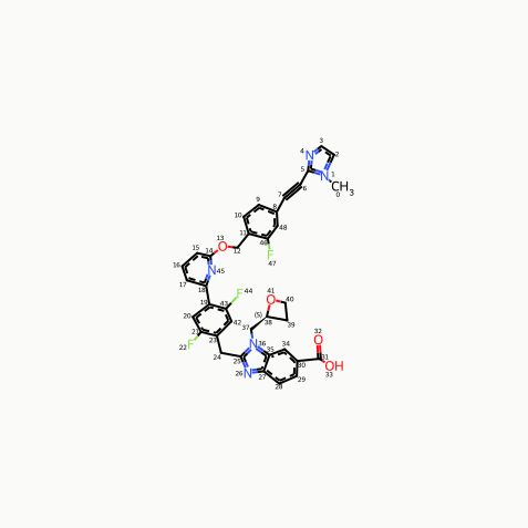 Cn1ccnc1C#Cc1ccc(COc2cccc(-c3cc(F)c(Cc4nc5ccc(C(=O)O)cc5n4C[C@@H]4CCO4)cc3F)n2)c(F)c1